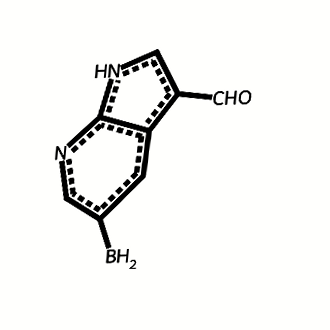 Bc1cnc2[nH]cc(C=O)c2c1